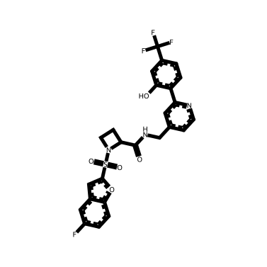 O=C(NCc1ccnc(-c2ccc(C(F)(F)F)cc2O)c1)C1CCN1S(=O)(=O)c1cc2cc(F)ccc2o1